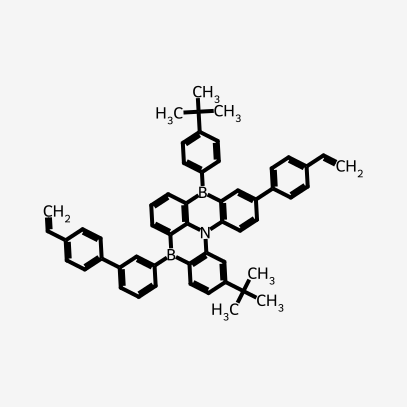 C=Cc1ccc(-c2cccc(B3c4ccc(C(C)(C)C)cc4N4c5ccc(-c6ccc(C=C)cc6)cc5B(c5ccc(C(C)(C)C)cc5)c5cccc3c54)c2)cc1